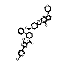 Cc1ccc(-c2nc(C)c(C(=O)N3CC[C@@H](C(=O)N4CCC(O)(Cn5cnc6c(ccn6C6CCOCC6)c5=O)CC4)[C@H](c4ccccc4)C3)s2)cn1